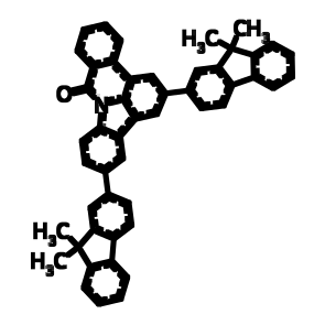 CC1(C)c2ccccc2-c2ccc(-c3ccc4c(c3)c3cc(-c5ccc6c(c5)C(C)(C)c5ccccc5-6)cc5c6ccccc6c(=O)n4c53)cc21